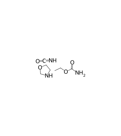 C1COCN1.CCOC(N)=O.N=C=O